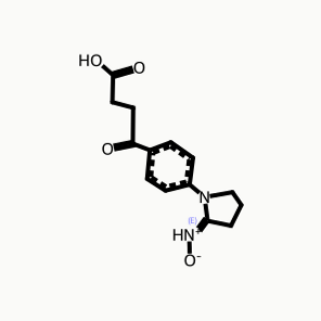 O=C(O)CCC(=O)c1ccc(N2CCC/C2=[NH+]\[O-])cc1